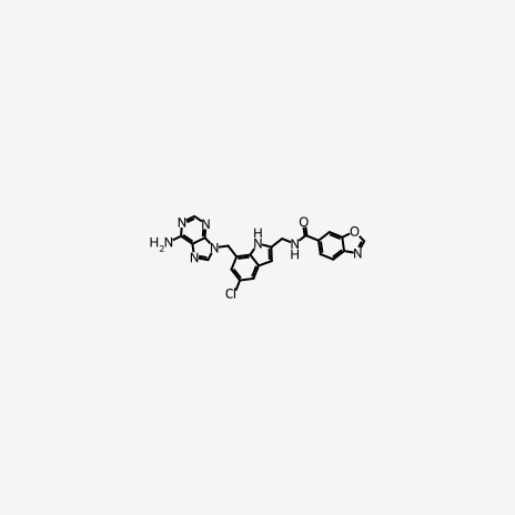 Nc1ncnc2c1ncn2Cc1cc(Cl)cc2cc(CNC(=O)c3ccc4ncoc4c3)[nH]c12